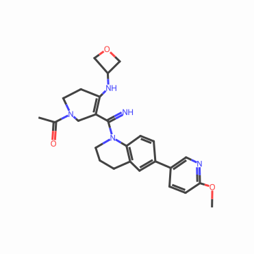 COc1ccc(-c2ccc3c(c2)CCCN3C(=N)C2=C(NC3COC3)CCN(C(C)=O)C2)cn1